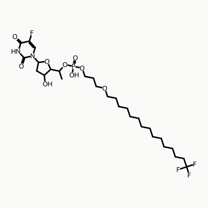 CC(OP(=O)(O)OCCCOCCCCCCCCCCCCCCC(F)(F)F)C1OC(n2cc(F)c(=O)[nH]c2=O)CC1O